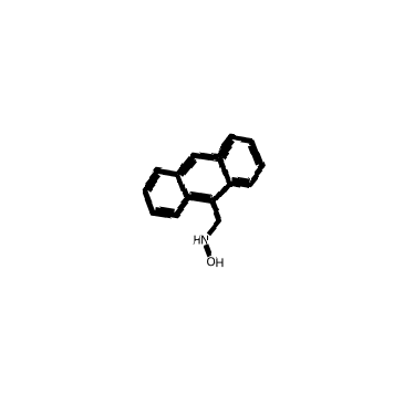 ONCc1c2ccccc2cc2ccccc12